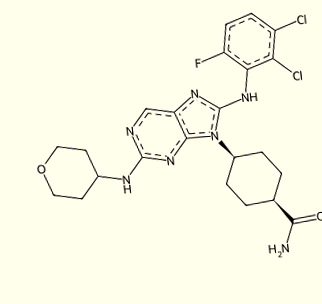 NC(=O)[C@H]1CC[C@@H](n2c(Nc3c(F)ccc(Cl)c3Cl)nc3cnc(NC4CCOCC4)nc32)CC1